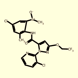 Cc1cc(Cl)cc([S+](C)[O-])c1NC(=O)c1cc(OCC(F)(F)F)nn1-c1ncccc1Cl